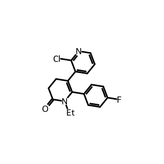 CCN1C(=O)CCC(c2cccnc2Cl)=C1c1ccc(F)cc1